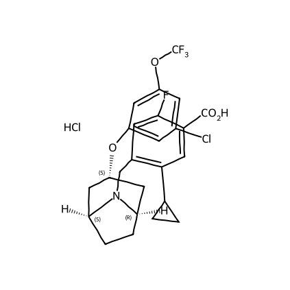 Cl.O=C(O)c1cc(C2CC2)c(CN2[C@@H]3CC[C@H]2C[C@H](Oc2cc(Cl)cc(OC(F)(F)F)c2)C3)cc1F